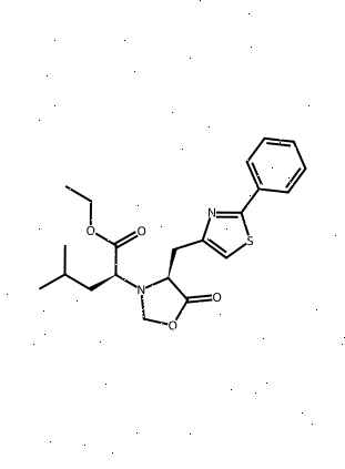 CCOC(=O)[C@H](CC(C)C)N1COC(=O)[C@@H]1Cc1csc(-c2ccccc2)n1